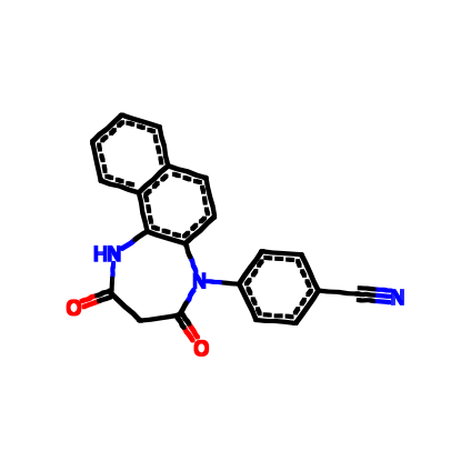 N#Cc1ccc(N2C(=O)CC(=O)Nc3c2ccc2ccccc32)cc1